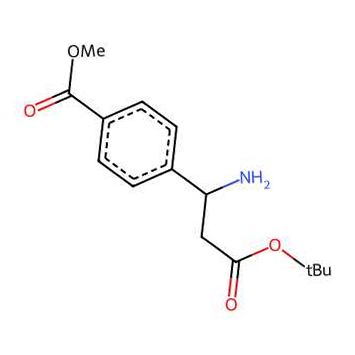 COC(=O)c1ccc(C(N)CC(=O)OC(C)(C)C)cc1